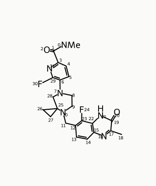 CNC(=O)c1ccc(N2CCN(Cc3ccc4nc(C)c(=O)[nH]c4c3F)C3(CC3)C2)c(F)n1